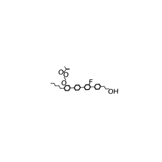 C=C(C)C(=O)OCCOc1cc(-c2ccc(-c3ccc(-c4ccc(CCCO)cc4)c(F)c3)cc2)ccc1CCCCC